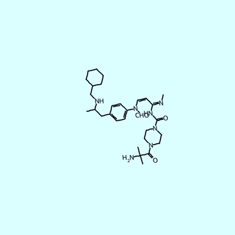 C/N=C(\C=C/N(C=O)c1ccc(CC(C)NCC2CCCCC2)cc1)NC(=O)N1CCN(C(=O)C(C)(C)N)CC1